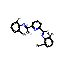 C/C(=N\c1c(C(C)C)cccc1C(C)C)c1cccc(/C(C)=N/c2c(C(C)C)cccc2C(C)C)n1